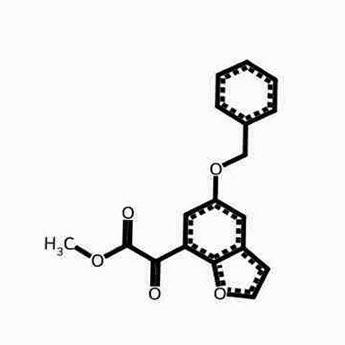 COC(=O)C(=O)c1cc(OCc2ccccc2)cc2ccoc12